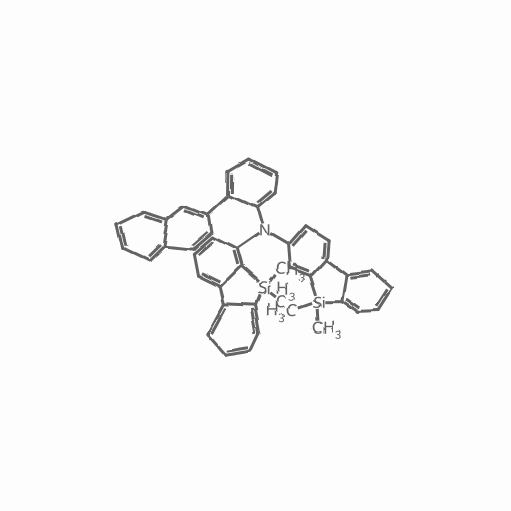 C[Si]1(C)c2ccccc2-c2ccc(N(c3ccccc3-c3ccc4ccccc4c3)c3cccc4c3[Si](C)(C)c3ccccc3-4)cc21